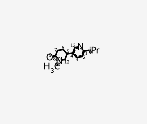 CC(C)c1ccc(C2CCC(=O)N(C)C2)cn1